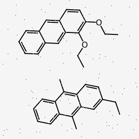 CCOc1ccc2cc3ccccc3cc2c1OCC.CCc1ccc2c(C)c3ccccc3c(C)c2c1